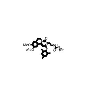 COc1cc2c(cc1OC)-c1cc(=Nc3c(C)cc(C)cc3C)n(CCNC(=O)NC(C)C)c(=O)n1CC2